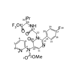 COC(=O)N(c1ccccn1)c1cnc(-c2ccc(F)cc2)n(CC(=O)NC(C(=O)C(F)(F)F)C(C)C)c1=O